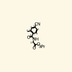 Cc1cc(C#N)ccc1C(=O)NCC(=O)OC(C)C